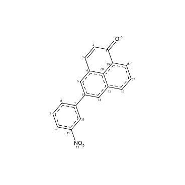 O=C1C=Cc2cc(-c3cccc([N+](=O)[O-])c3)cc3cccc1c23